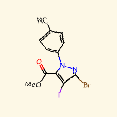 COC(=O)c1c(I)c(Br)nn1-c1ccc(C#N)cc1